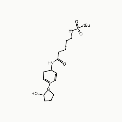 CC(C)(C)S(=O)(=O)NCCCCC(=O)NC1C=CC(N2CCCC2O)=CC1